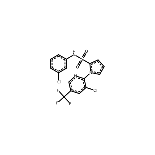 O=S(=O)(Nc1cccc(Cl)c1)c1cccn1-c1ncc(C(F)(F)F)cc1Cl